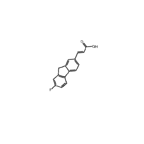 O=C(O)/C=C/c1ccc2c(c1)Cc1cc(F)ccc1-2